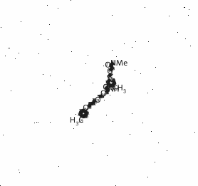 CNC(=O)COCCN1CCC(C)(NC(=O)COCCOCCCCOc2ccc(C)cc2)CC1